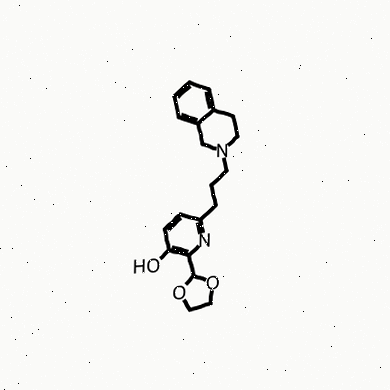 Oc1ccc(CCCN2CCc3ccccc3C2)nc1C1OCCO1